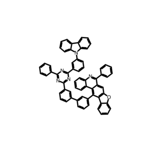 c1ccc(-c2nc(-c3cccc(-c4cccc(-c5c6c(cc7c(-c8ccccc8)nc8ccccc8c57)oc5ccccc56)c4)c3)nc(-c3cccc(-n4c5ccccc5c5ccccc54)c3)n2)cc1